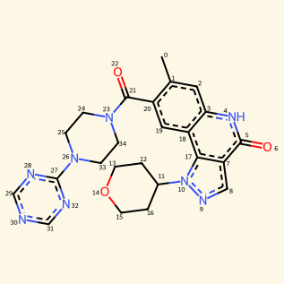 Cc1cc2[nH]c(=O)c3cnn(C4CCOCC4)c3c2cc1C(=O)N1CCN(c2ncncn2)CC1